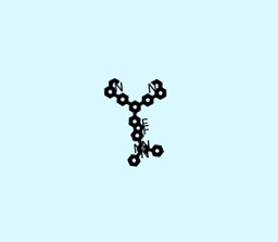 FC1(F)c2cc(-c3cc(-c4ccc(-c5cccc6cccnc56)cc4)cc(-c4ccc(-c5cccc6cccnc56)cc4)c3)ccc2-c2ccc(-c3nc(-c4ccccc4)nc(-c4ccccc4)n3)cc21